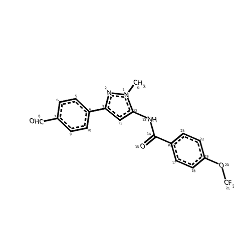 Cn1nc(-c2ccc(C=O)cc2)cc1NC(=O)c1ccc(OC(F)(F)F)cc1